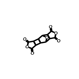 O=C1OC(=O)C2C3OC(C12)C1C2C(=O)OC(=O)C2C31